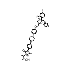 CC(O)C(C)n1nc(I)n(-c2ccc(N3CCN(c4ccc(OCC5COC(Cn6cncn6)(c6ccc(F)cc6F)O5)cc4)CC3)cc2)c1=O